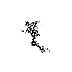 C=NN(CCn1cccn1)/C(NC(=O)C[S+](C)[O-])=C1\CCC(CCc2cccc(OCCCC(C)(F)F)c2)NC1=O